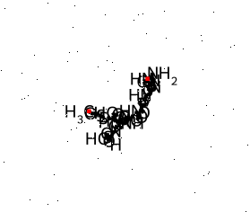 COCCSSCC[C@H](NC(=O)[C@H](CC(=O)NCCS(=O)(=O)O)NC(=O)CC[C@H](NC(=O)c1ccc(NCc2cnc3nc(N)[nH]c(=O)c3n2)cc1)C(=O)O)C(=O)O